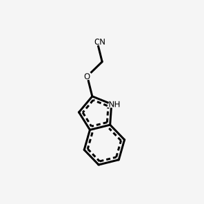 N#CCOc1cc2ccccc2[nH]1